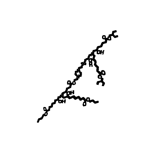 CCCCOC(=O)CCCCCCC(O)CN(CCCCC(=O)OCCN1CCN(CCSSCCCN(CC(O)CCCCC(=O)OCC(CC)CC)CC(O)CCCCC(=O)OCC(CC)CC)CC1)CC(O)CCCCCCC(=O)OCCCC